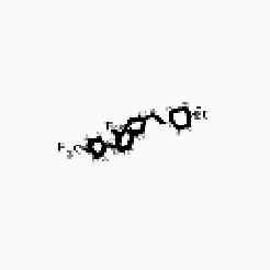 CC[C@H]1CC[C@H](CCc2ccc3c(F)c(-c4ccc(C(F)(F)F)cc4)ccc3c2)CC1